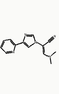 CN(C)C=C(C#N)n1cnc(-c2ccccn2)c1